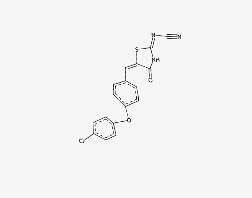 N#C/N=C1\NC(=O)/C(=C\c2ccc(Oc3ccc(Cl)cc3)cc2)S1